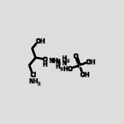 N.N.N.N.O=P(O)(O)O.OCC(O)CCl